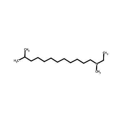 CCN(C)CCCCCCCCCCC(C)C